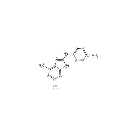 Cc1cc(C)c2nc(Nc3ccc(N)cc3)[nH]c2c1